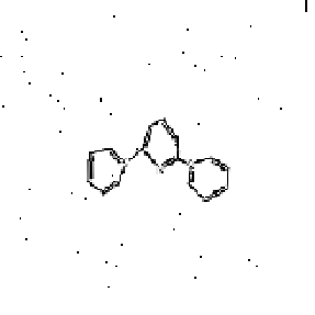 C1=CC=S(c2cccc(S3=CC=CC=C3)n2)C=C1